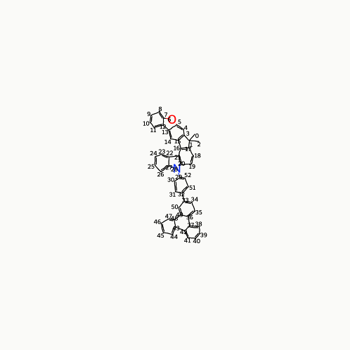 CC1(C)c2cc3oc4ccccc4c3cc2-c2c1ccc1c2c2ccccc2n1-c1ccc(-c2ccc3c4ccccc4c4ccccc4c3c2)cc1